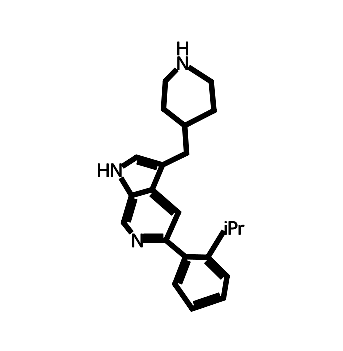 CC(C)c1ccccc1-c1cc2c(CC3CCNCC3)c[nH]c2cn1